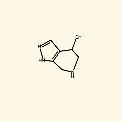 CC1CNCc2[nH]ncc21